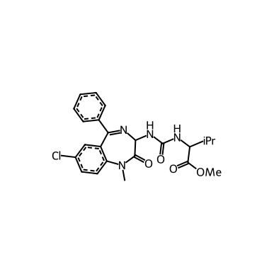 COC(=O)C(NC(=O)NC1N=C(c2ccccc2)c2cc(Cl)ccc2N(C)C1=O)C(C)C